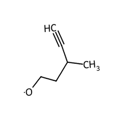 C#CC(C)CC[O]